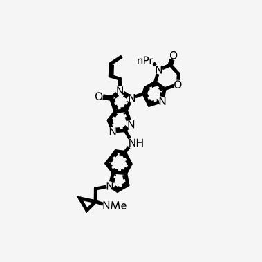 C/C=C\Cn1c(=O)c2cnc(Nc3ccc4c(ccn4CC4(NC)CC4)c3)nc2n1-c1cnc2c(c1)N(CCC)C(=O)CO2